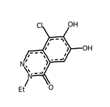 CCn1ncc2c(Cl)c(O)c(O)cc2c1=O